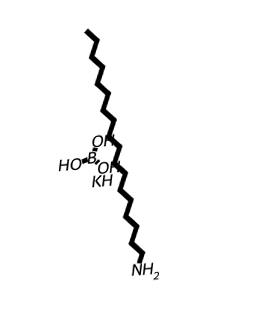 CCCCCCCCCCCCCCCCCCN.OB(O)O.[KH]